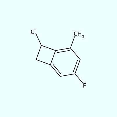 Cc1cc(F)cc2c1C(Cl)C2